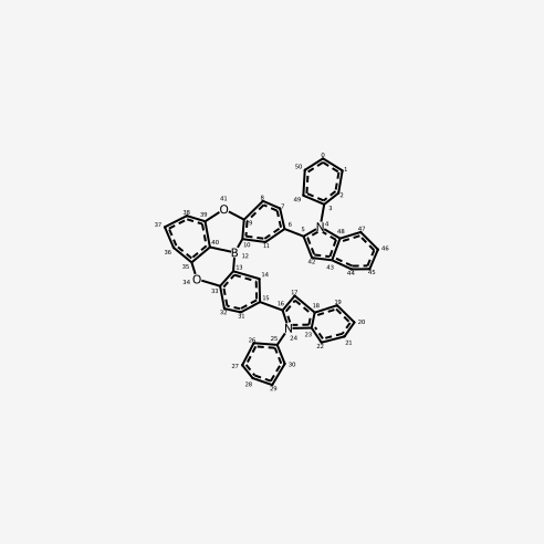 c1ccc(-n2c(-c3ccc4c(c3)B3c5cc(-c6cc7ccccc7n6-c6ccccc6)ccc5Oc5cccc(c53)O4)cc3ccccc32)cc1